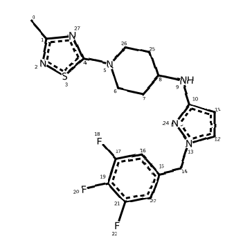 Cc1nsc(N2CCC(Nc3ccn(Cc4cc(F)c(F)c(F)c4)n3)CC2)n1